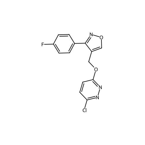 Fc1ccc(-c2nocc2COc2ccc(Cl)nn2)cc1